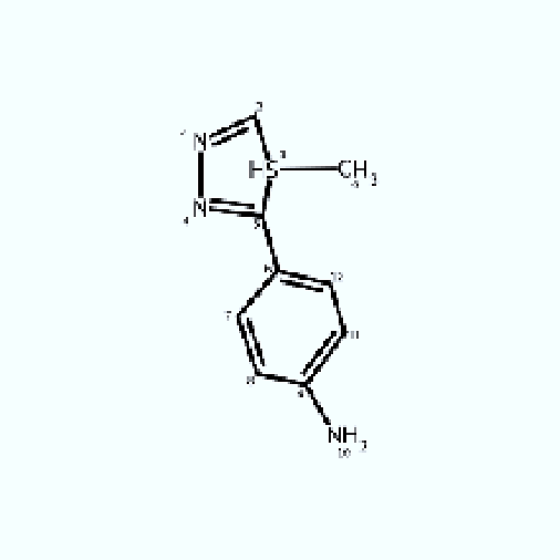 C[SH]1C=NN=C1c1ccc(N)cc1